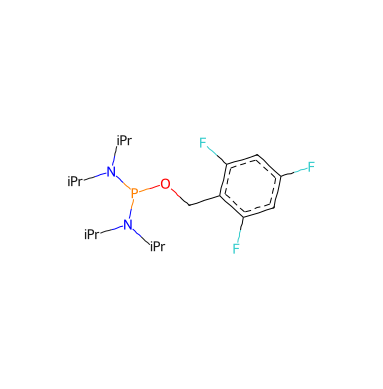 CC(C)N(C(C)C)P(OCc1c(F)cc(F)cc1F)N(C(C)C)C(C)C